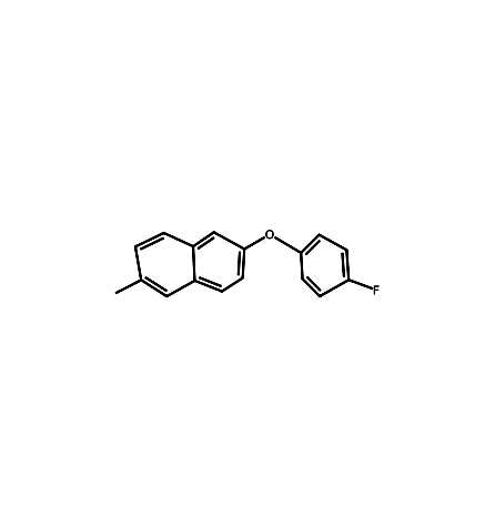 Cc1ccc2cc(Oc3ccc(F)cc3)ccc2c1